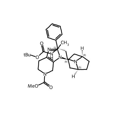 COC(=O)N1CCc2nc(C)n([C@H]3C[C@H]4CC[C@@H](C3)N4CC[C@H](NC(=O)OC(C)(C)C)c3ccccc3)c2C1